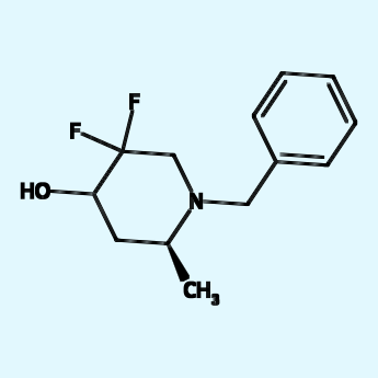 C[C@H]1CC(O)C(F)(F)CN1Cc1ccccc1